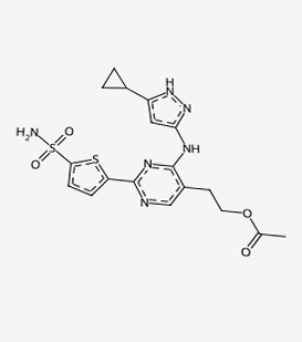 CC(=O)OCCc1cnc(-c2ccc(S(N)(=O)=O)s2)nc1Nc1cc(C2CC2)[nH]n1